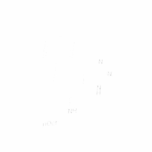 CCCCCCCCNCc1[nH]nnc1-c1ccccc1C